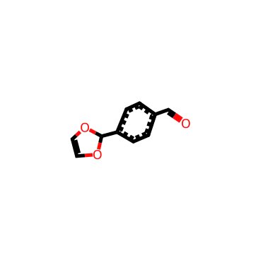 O=Cc1ccc(C2OC=CO2)cc1